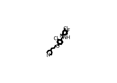 CN1CCC(CCCOc2ccc(-c3nc4cc(Cl)c(F)cc4[nH]3)c(Cl)c2)CC1